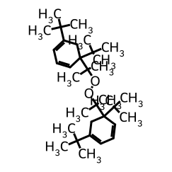 CC(C)(C)C1=CC=CC(C(C)(C)C)(C(C)(C)OOC(C)(C)C2(C(C)(C)C)C=CC=C(C(C)(C)C)C2)C1